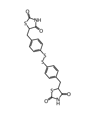 O=C1NC(=O)C(Cc2ccc(SSc3ccc(CC4SC(=O)NC4=O)cc3)cc2)S1